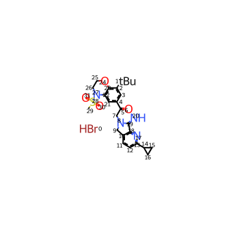 Br.CC(C)(C)c1cc(C(=O)CN2Cc3ccc(C4CC4)nc3C2=N)cc2c1OCCN2S(C)(=O)=O